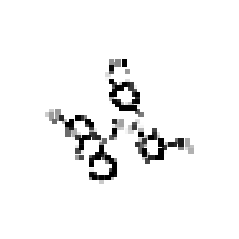 NCC(c1ccccc1)n1ccc(N)nc1=O.NCc1ccc(COc2nccc(N)n2)cc1